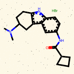 Br.CN(C)C1CCc2[nH]c3ccc(NC(=O)C4CCC4)cc3c2C1